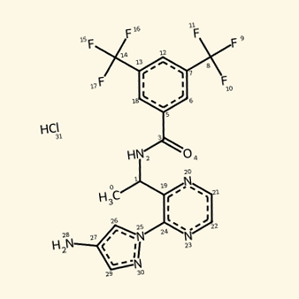 CC(NC(=O)c1cc(C(F)(F)F)cc(C(F)(F)F)c1)c1nccnc1-n1cc(N)cn1.Cl